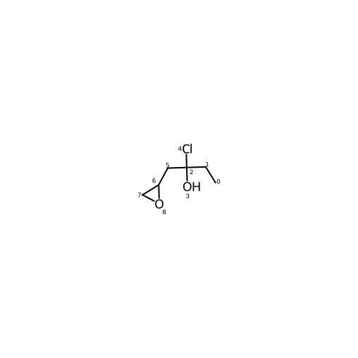 CCC(O)(Cl)CC1CO1